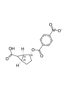 O=C(O[C@@H]1CC[C@H]2C(C(=O)O)[C@@H]12)c1ccc([N+](=O)[O-])cc1